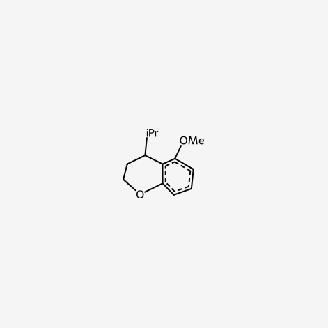 COc1cccc2c1C(C(C)C)CCO2